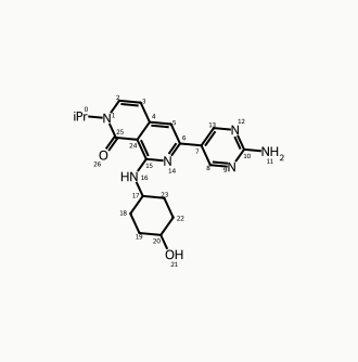 CC(C)n1ccc2cc(-c3cnc(N)nc3)nc(NC3CCC(O)CC3)c2c1=O